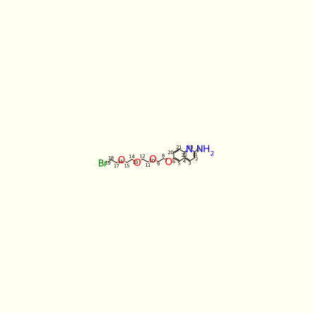 Nc1ccc2cc(OCCOCCOCCOCCBr)ccc2n1